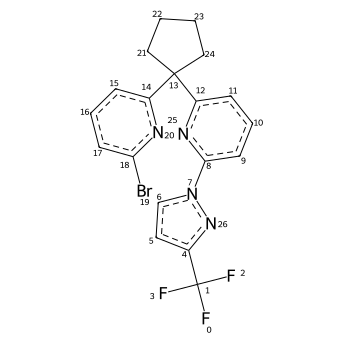 FC(F)(F)c1ccn(-c2cccc(C3(c4cccc(Br)n4)CCCC3)n2)n1